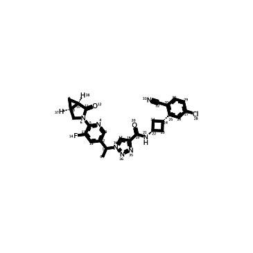 CC(c1cnc(N2C[C@H]3C[C@H]3C2=O)c(F)c1)n1cc(C(=O)N[C@H]2C[C@@H](c3cc(Cl)ccc3C#N)C2)nn1